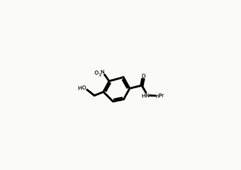 CCCNC(=O)c1ccc(CO)c([N+](=O)[O-])c1